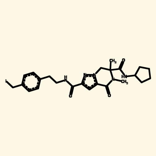 CN1C(=O)c2cc(C(=O)NCCc3ccc(CI)cc3)nn2CC1(C)C(=O)NC1CCCC1